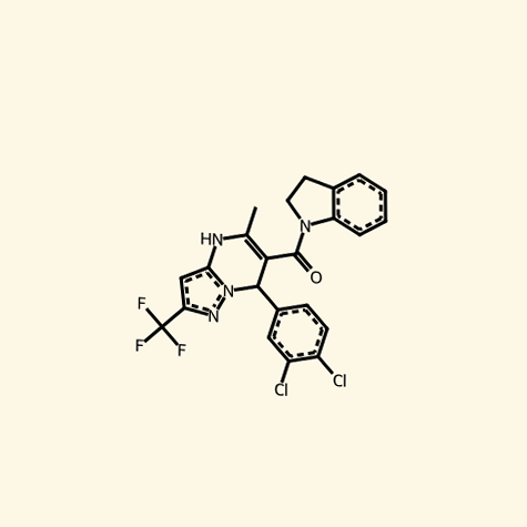 CC1=C(C(=O)N2CCc3ccccc32)C(c2ccc(Cl)c(Cl)c2)n2nc(C(F)(F)F)cc2N1